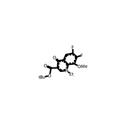 CCn1cc(C(=O)OC(C)(C)C)c(=O)c2cc(F)c(F)c(OC)c21